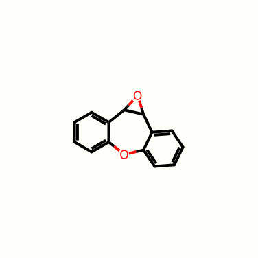 c1ccc2c(c1)Oc1ccccc1C1OC21